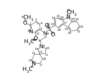 COc1ccc(N(CCN2CCC3(CCN(C)CC3)C2)S(=O)(=O)c2ccc3c(c2)c2ccccc2n3C)c(OC)n1